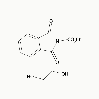 CCOC(=O)N1C(=O)c2ccccc2C1=O.OCCO